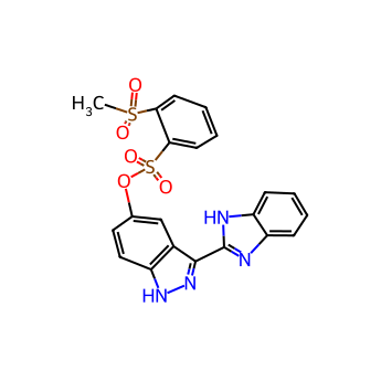 CS(=O)(=O)c1ccccc1S(=O)(=O)Oc1ccc2[nH]nc(-c3nc4ccccc4[nH]3)c2c1